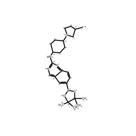 CC1(C)OB(c2ccc3nc(NC4CCC(N5CCC(F)C5)CC4)ncc3c2)OC1(C)C